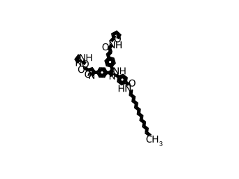 CCCCCCCCCCCCCCCCNC(=O)c1ccc(-c2nc(-c3ccc(C4=NOC(C(=O)Oc5ncc[nH]5)C4)cc3)c(-c3ccc(C=CC(=O)NCC4CCCO4)cc3)[nH]2)cc1